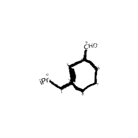 CC(C)CC1=CC(C=O)CCC1